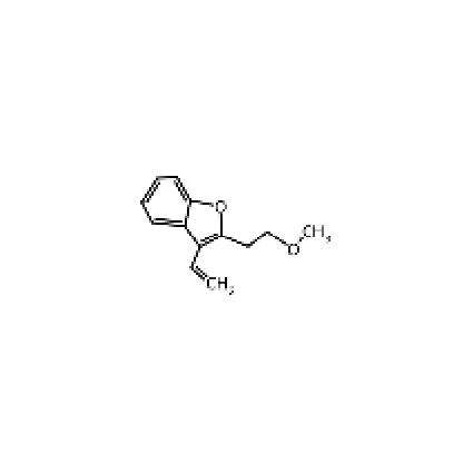 C=Cc1c(CCOC)oc2ccccc12